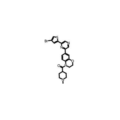 CN1CCC(C(=O)N2CCOc3cc(-c4cncc(-c5cc(Br)cs5)n4)ccc32)CC1